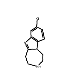 Clc1ccc2c(c1)nc1n2CCNCC1